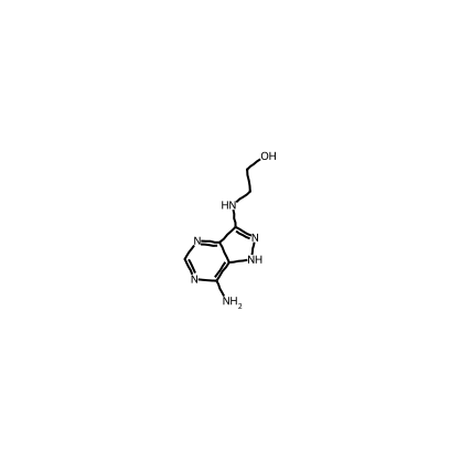 Nc1ncnc2c(NCCO)n[nH]c12